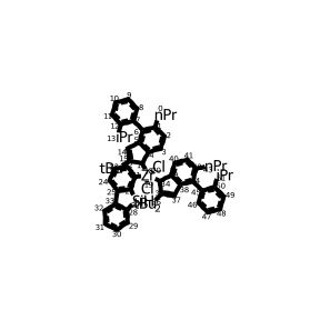 CCCc1ccc2c(c1-c1ccccc1C(C)C)C=C(C(C)(C)C)[CH]2[Zr]([Cl])([Cl])([c]1cccc2c1[SiH2]c1ccccc1-2)[CH]1C(C(C)(C)C)=Cc2c1ccc(CCC)c2-c1ccccc1C(C)C